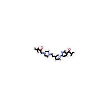 CC(C)C(=O)c1ccc(N2CCC(CCN3CCN(CC(=O)C(C)(C)C)CC3)C2)nc1